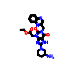 CCOC(=O)Cn1c(=O)n(Cc2cnc3ccccc3n2)c(=O)c2[nH]c(N3CCCC(N)C3)nc21